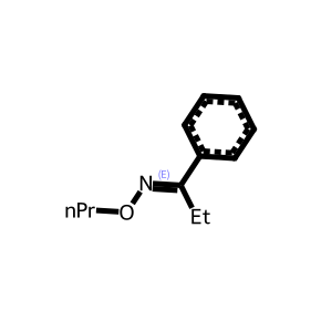 CCCO/N=C(\CC)c1ccccc1